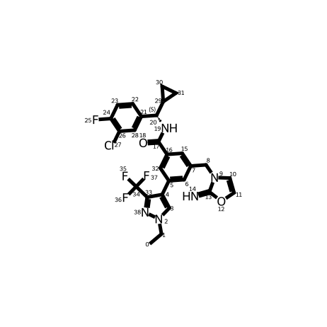 CCn1cc(-c2cc(Cn3ccoc3=N)cc(C(=O)N[C@H](c3ccc(F)c(Cl)c3)C3CC3)c2)c(C(F)(F)F)n1